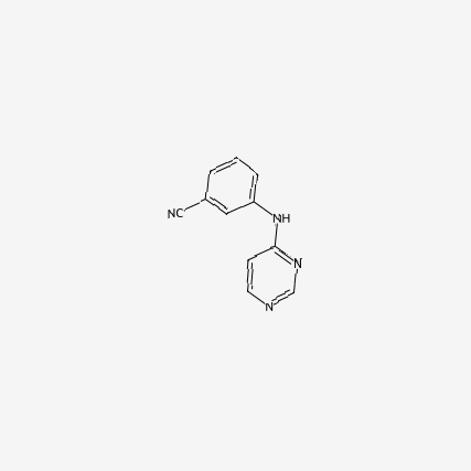 N#Cc1cccc(Nc2ccncn2)c1